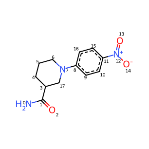 NC(=O)C1CCCN(c2ccc([N+](=O)[O-])cc2)C1